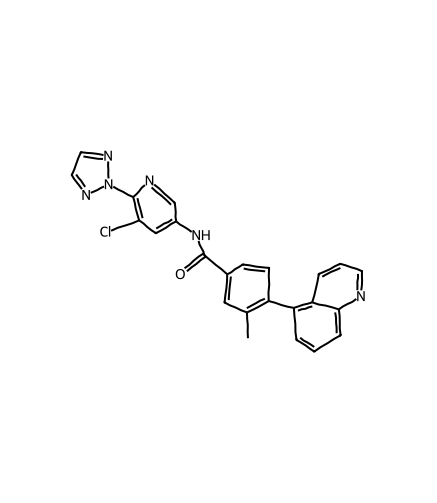 Cc1cc(C(=O)Nc2cnc(-n3nccn3)c(Cl)c2)ccc1-c1cccc2ncccc12